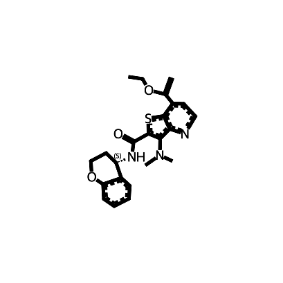 C=C(OCC)c1ccnc2c(N(C)C)c(C(=O)N[C@H]3CCOc4ccccc43)sc12